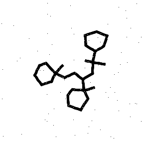 CC1(CCC(CC(C)(C)C2CCCCC2)C2(C)CCCCC2)CCCCC1